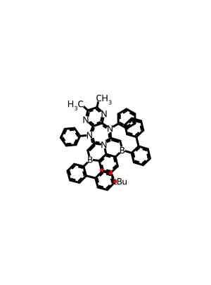 Cc1nc2c(nc1C)n(-c1ccccc1)c1n3c(n2-c2ccccc2)=CB(c2ccccc2-c2ccccc2)c2cc(C(C)(C)C)cc(c2-3)B(c2ccccc2-c2ccccc2)C=1